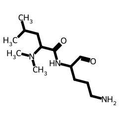 CC(C)CC(C(=O)NC(C=O)CCCN)N(C)C